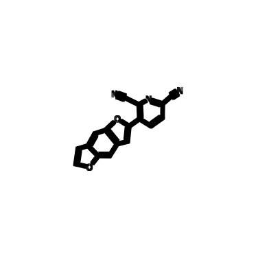 N#Cc1ccc(-c2cc3cc4occc4cc3o2)c(C#N)n1